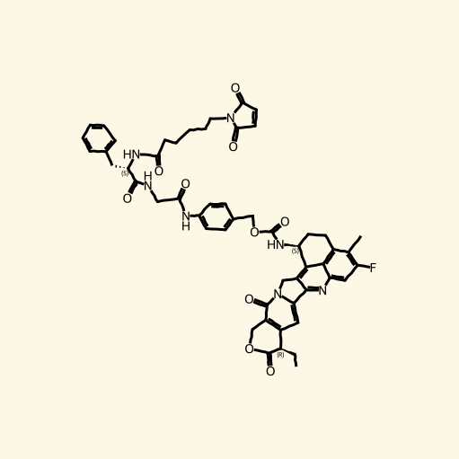 CC[C@H]1C(=O)OCc2c1cc1n(c2=O)Cc2c-1nc1cc(F)c(C)c3c1c2[C@@H](NC(=O)OCc1ccc(NC(=O)CNC(=O)[C@H](Cc2ccccc2)NC(=O)CCCCCN2C(=O)C=CC2=O)cc1)CC3